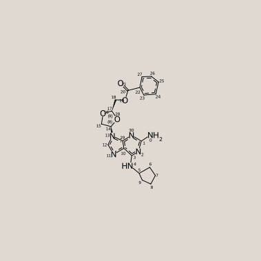 Nc1nc(NC2CCCC2)c2ncn([C@H]3CO[C@@H](COC(=O)c4ccccc4)O3)c2n1